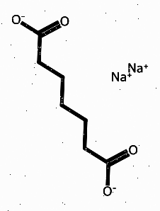 O=C([O-])CCCCCC(=O)[O-].[Na+].[Na+]